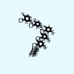 Cc1ccc([S])cc1Cl.Cc1ccc([S])cc1Cl.Cc1ccc([S])cc1Cl.Cc1ccc([S])cc1Cl.Cc1ccc([S])cc1Cl.F.F.F.F.F